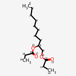 CCCCCCCCC(COC(=O)CC)OC(=O)CC